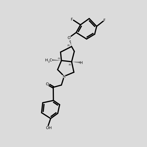 C[C@]12C[C@H](Oc3ccc(F)cc3F)C[C@H]1CN(CC(=O)c1ccc(O)cc1)C2